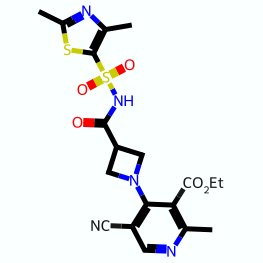 CCOC(=O)c1c(C)ncc(C#N)c1N1CC(C(=O)NS(=O)(=O)c2sc(C)nc2C)C1